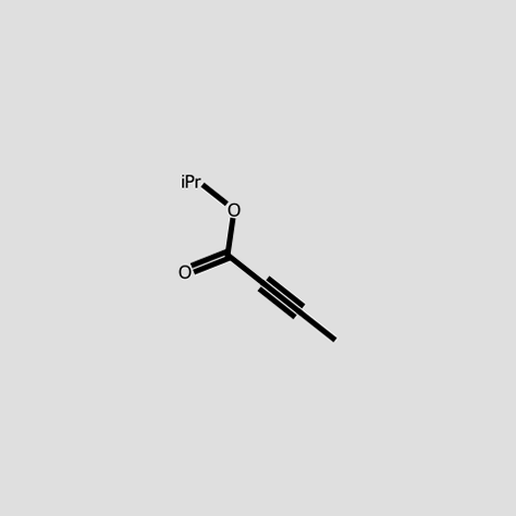 CC#CC(=O)OC(C)C